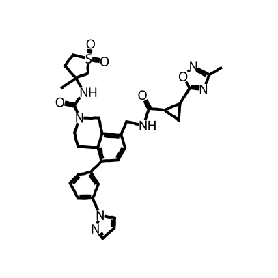 Cc1noc(C2CC2C(=O)NCc2ccc(-c3cccc(-n4cccn4)c3)c3c2CN(C(=O)NC2(C)CCS(=O)(=O)C2)CC3)n1